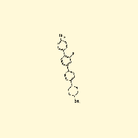 Bc1ccc(-c2ccc(-c3ccc(C4CCC(B)CC4)cc3)cc2F)cc1